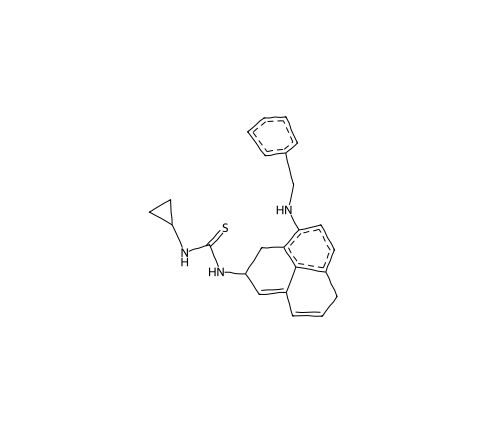 S=C(NC1C=C2C=CCc3ccc(NCc4ccccc4)c(c32)C1)NC1CC1